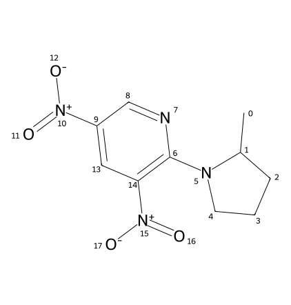 CC1CCCN1c1ncc([N+](=O)[O-])cc1[N+](=O)[O-]